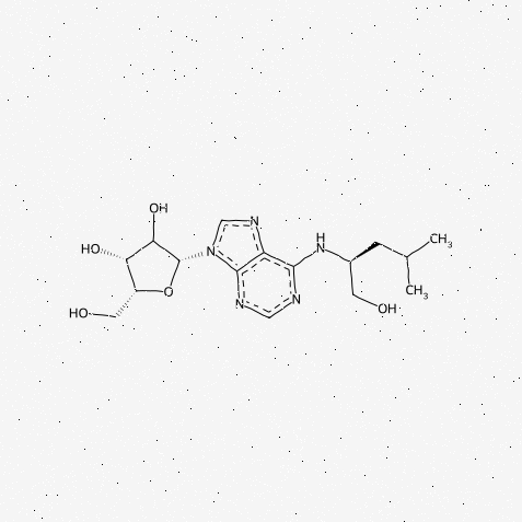 CC(C)C[C@@H](CO)Nc1ncnc2c1ncn2[C@@H]1O[C@H](CO)[C@H](O)C1O